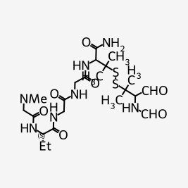 CC[C@H](NC(=O)CNC)C(=O)NCC(=O)NCC(=O)NC(C(N)=O)C(C)(C)SSC(C)(C)C(C=O)NC=O